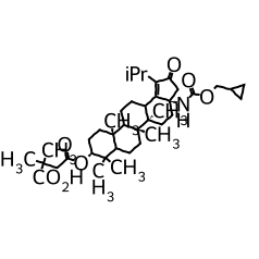 CC(C)C1=C2C3CCC4[C@@]5(C)CC[C@H](OC(=O)CC(C)(C)C(=O)O)C(C)(C)C5CC[C@@]4(C)[C@]3(C)CC[C@@]2(NC(=O)OCC2CC2)CC1=O